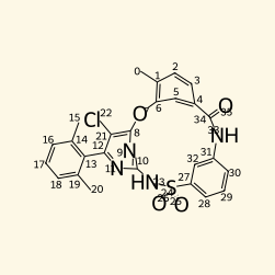 Cc1ccc2cc1Oc1nc(nc(-c3c(C)cccc3C)c1Cl)NS(=O)(=O)c1cccc(c1)NC2=O